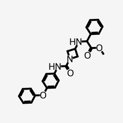 COC(=O)C(NC1CN(C(=O)Nc2ccc(Oc3ccccc3)cc2)C1)c1ccccc1